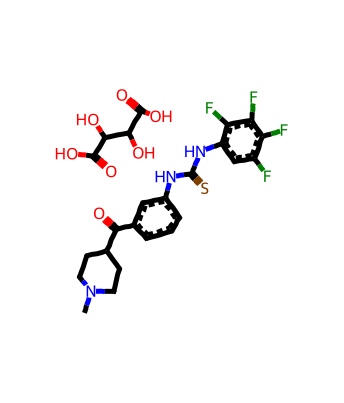 CN1CCC(C(=O)c2cccc(NC(=S)Nc3cc(F)c(F)c(F)c3F)c2)CC1.O=C(O)C(O)C(O)C(=O)O